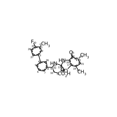 Cc1cc(-c2cccc([C@H](CC(=O)O)NC(=O)Nc3c(O)c(C)cn(C)c3=O)c2)ccc1F